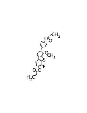 C=CC(=O)Oc1ccc(-c2ccc3c(sc4c(F)c(OC(=O)C=C)ccc43)c2OC)cc1